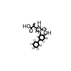 C=C(C(=O)O)C1CN(c2cc(-c3ccccc3)ccc2O)C(=O)N1